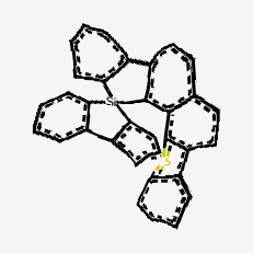 c1ccc2c(c1)-c1ccccc1[Si]21c2ccccc2-c2ccc3ccc4c5ccccc5sc4c3c21